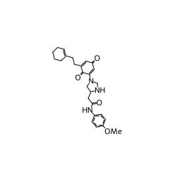 COc1ccc(NC(=O)CC2CN(C3=CC(=O)C=C(CCC4=CCCCC4)C3=O)CN2)cc1